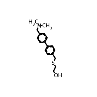 CN(C)Cc1ccc(-c2ccc(CSCCO)cc2)cc1